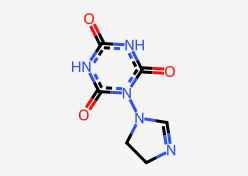 O=c1[nH]c(=O)n(N2C=NCC2)c(=O)[nH]1